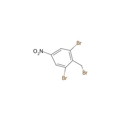 O=[N+]([O-])c1cc(Br)c(CBr)c(Br)c1